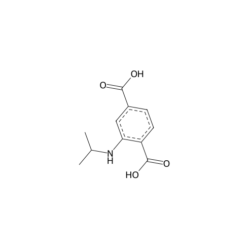 CC(C)Nc1cc(C(=O)O)ccc1C(=O)O